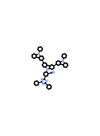 N#Cc1cc(-c2nc(-c3ccccc3)nc(-c3ccccc3)n2)ccc1-n1c2ccc(-c3ccc4c(c3)c3ccccc3n4-c3ccccc3)cc2c2cc(-c3ccc4c(c3)c3ccccc3n4-c3ccccc3)ccc21